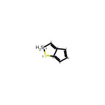 C1=CC2=C[SiH2]SC2=C1